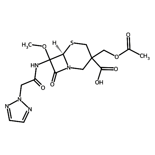 COC1(NC(=O)Cn2nccn2)C(=O)N2CC(COC(C)=O)(C(=O)O)CS[C@@H]21